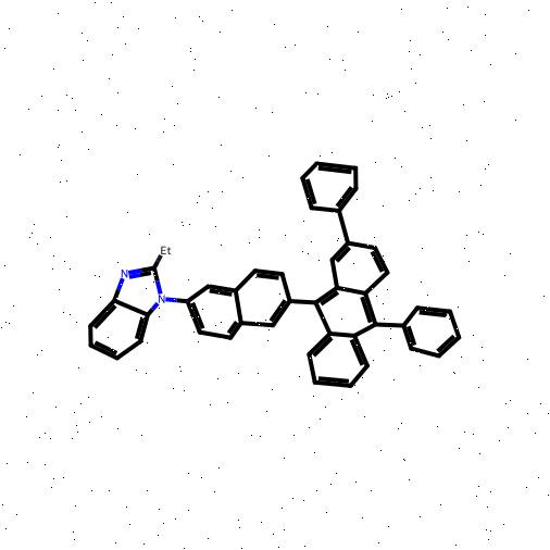 CCc1nc2ccccc2n1-c1ccc2cc(-c3c4ccccc4c(-c4ccccc4)c4ccc(-c5ccccc5)cc34)ccc2c1